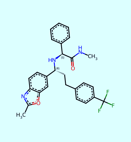 CNC(=O)[C@@H](N[C@H](CCc1ccc(C(F)(F)F)cc1)c1ccc2nc(C)oc2c1)c1ccccc1